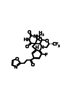 C[C@@H]1O[C@H](C(F)(F)F)CN2c3c(F)cc(C(=O)CCc4ncco4)cc3CC3(C(=O)NC(=O)NC3=O)[C@@H]12